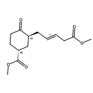 COC(=O)C/C=C/C[C@H]1C[C@H](C(=O)OC)CCC1=O